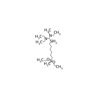 CCO[Si](C)(CCCCCC[SiH2]C(N(CC)CC)N(CC)CC)OCC